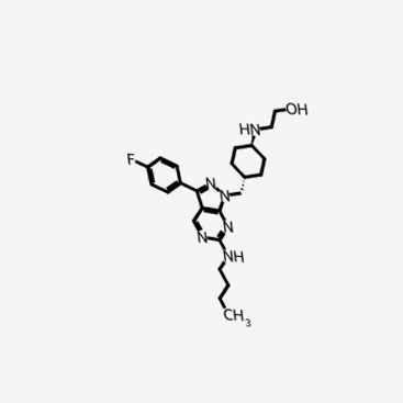 CCCCNc1ncc2c(-c3ccc(F)cc3)nn(C[C@H]3CC[C@H](NCCO)CC3)c2n1